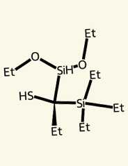 CCO[SiH](OCC)[C@](S)(CC)[Si](CC)(CC)CC